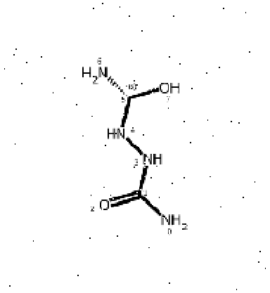 NC(=O)NN[C@H](N)O